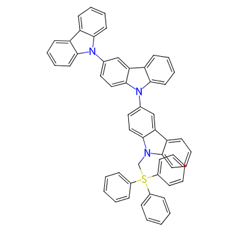 c1ccc(S(Cn2c3ccccc3c3cc(-n4c5ccccc5c5cc(-n6c7ccccc7c7ccccc76)ccc54)ccc32)(c2ccccc2)c2ccccc2)cc1